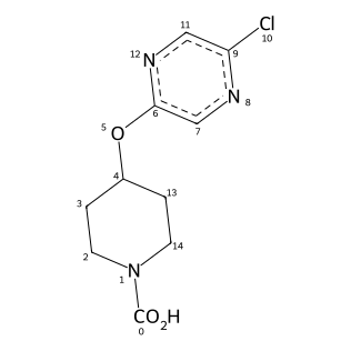 O=C(O)N1CCC(Oc2cnc(Cl)cn2)CC1